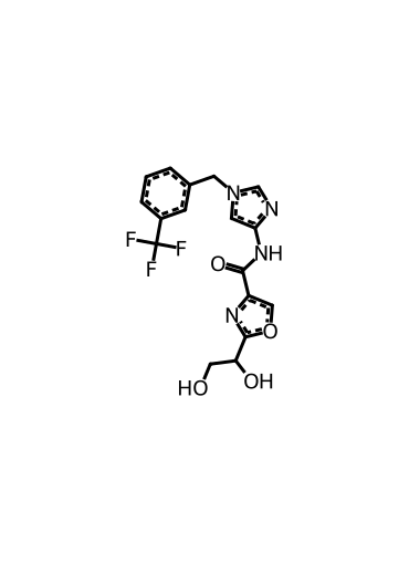 O=C(Nc1cn(Cc2cccc(C(F)(F)F)c2)cn1)c1coc(C(O)CO)n1